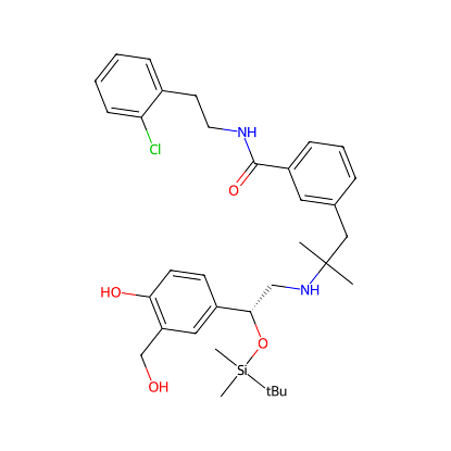 CC(C)(Cc1cccc(C(=O)NCCc2ccccc2Cl)c1)NC[C@H](O[Si](C)(C)C(C)(C)C)c1ccc(O)c(CO)c1